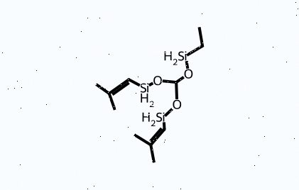 CC[SiH2]OC(O[SiH2]C=C(C)C)O[SiH2]C=C(C)C